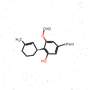 CCCCCc1cc(O)c([C@@H]2C=C(C)CCC2)c(OC=O)c1